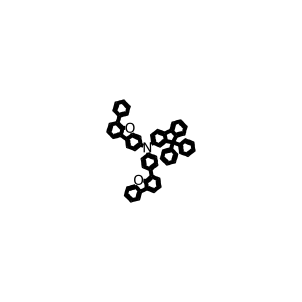 c1ccc(-c2cccc3c2oc2cc(N(c4ccc(-c5cccc6c5oc5ccccc56)cc4)c4ccc5c(c4)C(c4ccccc4)(c4ccccc4)c4ccccc4-5)ccc23)cc1